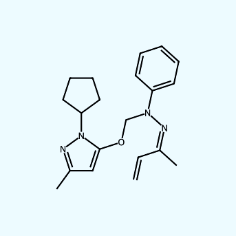 C=C/C(C)=N\N(COc1cc(C)nn1C1CCCC1)c1ccccc1